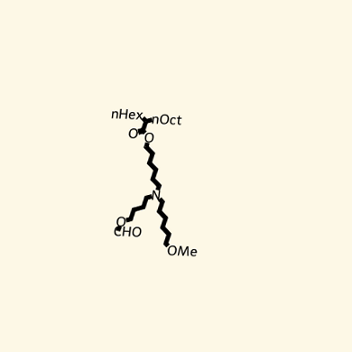 CCCCCCCCC(CCCCCC)C(=O)OCCCCCCN(CCCCCCOC)CCCCOC=O